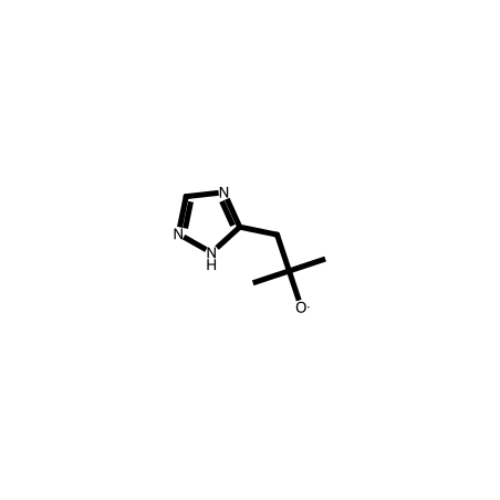 CC(C)([O])Cc1ncn[nH]1